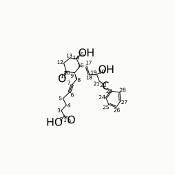 O=C(O)CCCC#CC[C@H]1C(=O)CC[C@@H](O)[C@@H]1/C=C/C(O)CCc1ccccc1